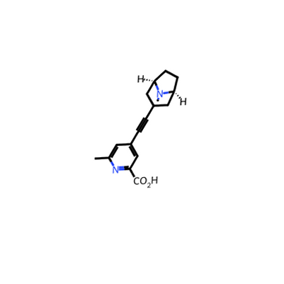 Cc1cc(C#CC2C[C@H]3CC[C@@H](C2)N3C)cc(C(=O)O)n1